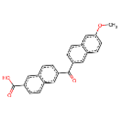 COc1ccc2cc(C(=O)c3ccc4cc(C(=O)O)ccc4c3)ccc2c1